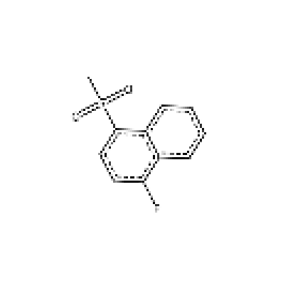 CS(=O)(=O)c1ccc(F)c2ccccc12